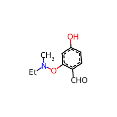 CCN(C)Oc1cc(O)ccc1C=O